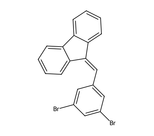 Brc1cc(Br)cc(C=C2c3ccccc3-c3ccccc32)c1